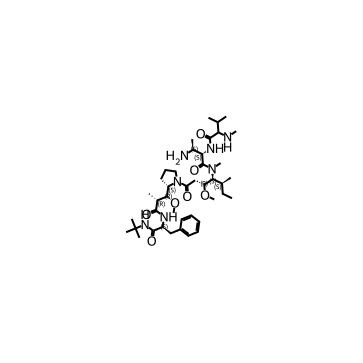 CC[C@H](C)[C@@H]([C@@H](CC(=O)N1CCC[C@H]1[C@H](OC)[C@@H](C)C(=O)N[C@@H](Cc1ccccc1)C(=O)NC(C)(C)C)OC)N(C)C(=O)[C@@H](NC(=O)C(NC)C(C)C)[C@H](C)N